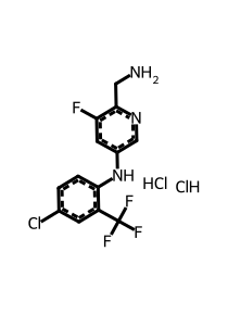 Cl.Cl.NCc1ncc(Nc2ccc(Cl)cc2C(F)(F)F)cc1F